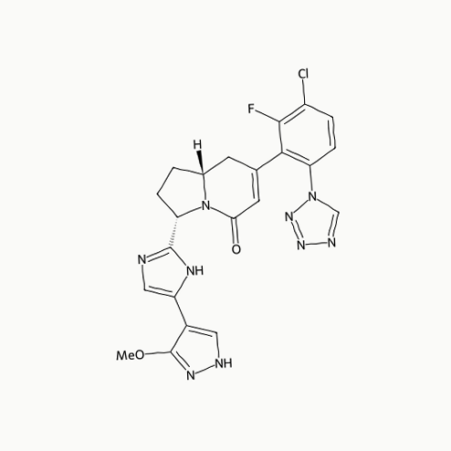 COc1n[nH]cc1-c1cnc([C@@H]2CC[C@@H]3CC(c4c(-n5cnnn5)ccc(Cl)c4F)=CC(=O)N32)[nH]1